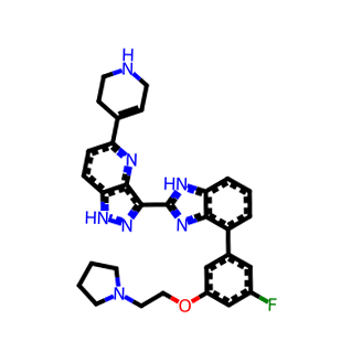 Fc1cc(OCCN2CCCC2)cc(-c2cccc3[nH]c(-c4n[nH]c5ccc(C6=CCNCC6)nc45)nc23)c1